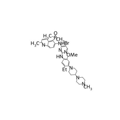 CCc1cc(Nc2ncc(Br)c(Nc3ccc4nc(C)ccc4c3P(C)(C)=O)n2)c(OC)cc1N1CCC(N2CCN(C)CC2)CC1